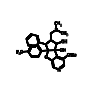 COc1cncc2c1C1(O)C(O)C(CN(C)C)C(c3ccccc3)C1(c1ccc(C(F)(F)F)cc1)O2